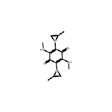 CNC1=C(N2CC2C)C(=O)C(NC)=C(N2CC2C)C1=O